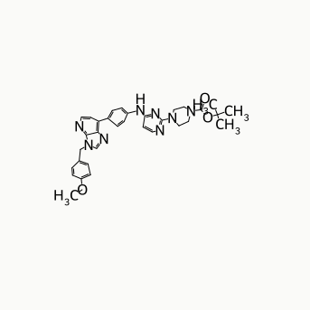 COc1ccc(Cn2cnc3c(-c4ccc(Nc5ccnc(N6CCN(C(=O)OC(C)(C)C)CC6)n5)cc4)ccnc32)cc1